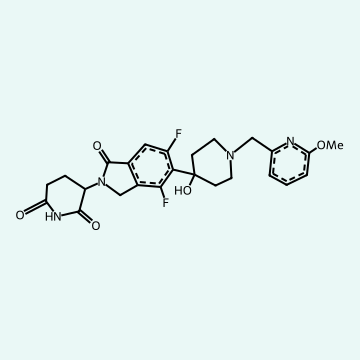 COc1cccc(CN2CCC(O)(c3c(F)cc4c(c3F)CN(C3CCC(=O)NC3=O)C4=O)CC2)n1